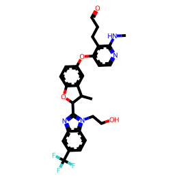 CNc1nccc(Oc2ccc3c(c2)C(C)C(c2nc4cc(C(F)(F)F)ccc4n2CCO)O3)c1CCC=O